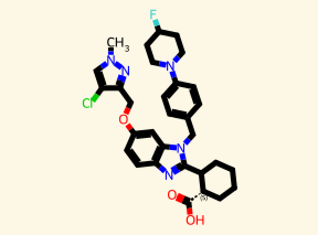 Cn1cc(Cl)c(COc2ccc3nc(C4CCCC[C@@H]4C(=O)O)n(Cc4ccc(N5CCC(F)CC5)cc4)c3c2)n1